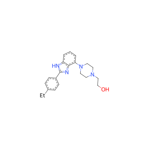 CCc1ccc(-c2nc3c(N4CCN(CCO)CC4)cccc3[nH]2)cc1